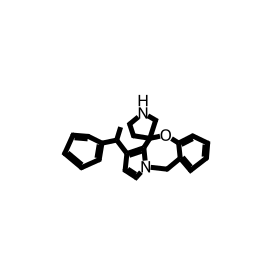 CC(c1ccccc1)c1ccn2c1C1(CCNC1)Oc1ccccc1C2